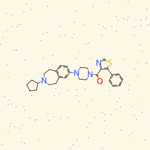 O=C(c1ncsc1-c1ccccc1)N1CCN(c2ccc3c(c2)CCN(C2CCCC2)CC3)CC1